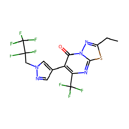 CCc1nn2c(=O)c(-c3cnn(CC(F)(F)C(F)(F)F)c3)c(C(F)(F)F)nc2s1